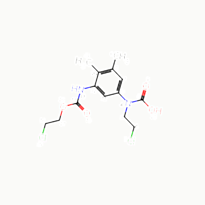 Cc1cc(N(CCCl)C(=O)O)cc(NC(=O)OCCCl)c1C